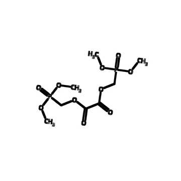 COP(=O)(COC(=O)C(=O)OCP(=O)(OC)OC)OC